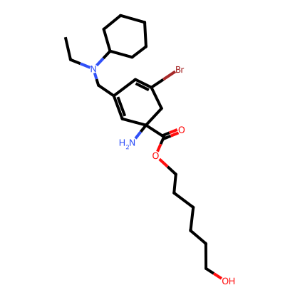 CCN(CC1=CC(N)(C(=O)OCCCCCCO)CC(Br)=C1)C1CCCCC1